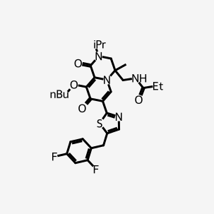 CCCCOc1c2n(cc(-c3ncc(Cc4ccc(F)cc4F)s3)c1=O)C(C)(CNC(=O)CC)CN(C(C)C)C2=O